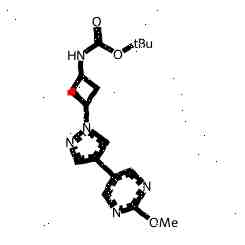 COc1ncc(-c2cnn(C34CC(NC(=O)OC(C)(C)C)(C3)C4)c2)cn1